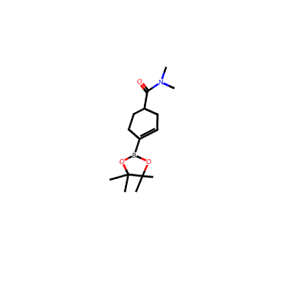 CN(C)C(=O)C1CC=C(B2OC(C)(C)C(C)(C)O2)CC1